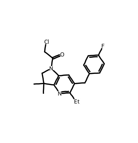 CCc1nc2c(cc1Cc1ccc(F)cc1)N(C(=O)CCl)CC2(C)C